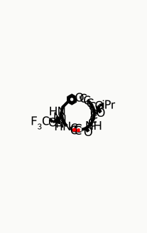 CC(C)OC(=O)N1CCCCOc2ccc(cc2)CNc2nc(nc(OCC(F)(F)F)n2)Nc2ccc(cc2)C(=O)NCCC1